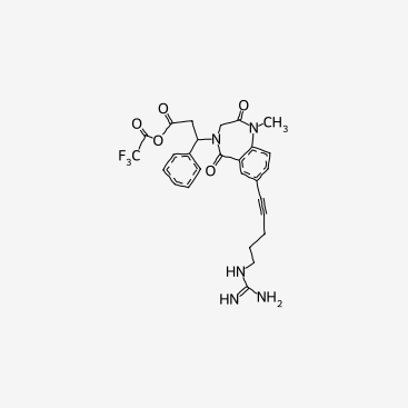 CN1C(=O)CN(C(CC(=O)OC(=O)C(F)(F)F)c2ccccc2)C(=O)c2cc(C#CCCCNC(=N)N)ccc21